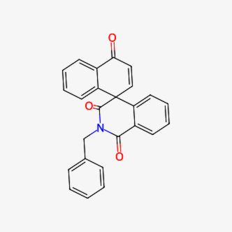 O=C1C=CC2(C(=O)N(Cc3ccccc3)C(=O)c3ccccc32)c2ccccc21